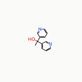 CC(O)(c1cccnc1)c1cccnc1